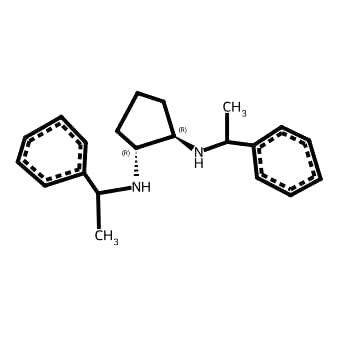 CC(N[C@@H]1CCC[C@H]1NC(C)c1ccccc1)c1ccccc1